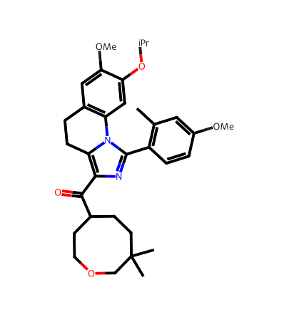 COc1ccc(-c2nc(C(=O)C3CCOCC(C)(C)CC3)c3n2-c2cc(OC(C)C)c(OC)cc2CC3)c(C)c1